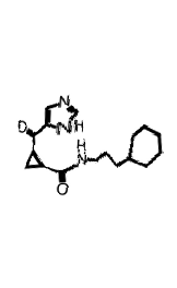 O=C(NCCCC1CCCCC1)[C@H]1C[C@H]1C(=O)c1cnc[nH]1